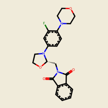 O=C1c2ccccc2C(=O)N1C[C@@H]1OCCN1c1ccc(N2CCOCC2)c(F)c1